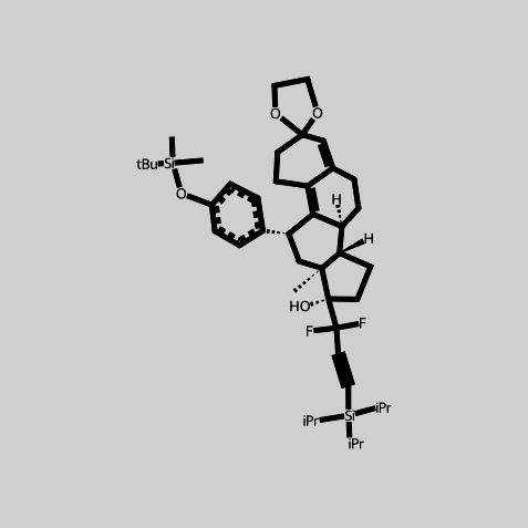 CC(C)[Si](C#CC(F)(F)[C@]1(O)CC[C@H]2[C@@H]3CCC4=CC5(CCC4=C3[C@@H](c3ccc(O[Si](C)(C)C(C)(C)C)cc3)C[C@@]21C)OCCO5)(C(C)C)C(C)C